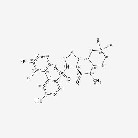 Cc1ccc(S(=O)(=O)N2CCC[C@H]2C(=O)N(C)C2CCC(F)(F)CC2)c(-c2cccc(F)c2F)c1